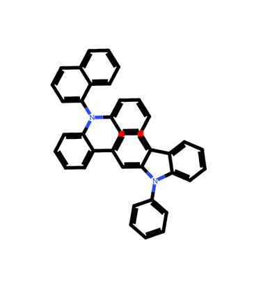 c1ccc(N(c2ccccc2-c2ccc3c4ccccc4n(-c4ccccc4)c3c2)c2cccc3ccccc23)cc1